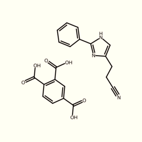 N#CCCc1c[nH]c(-c2ccccc2)n1.O=C(O)c1ccc(C(=O)O)c(C(=O)O)c1